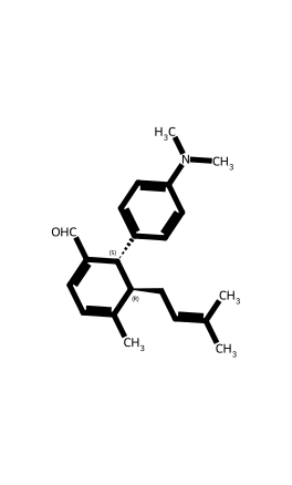 CC(C)=CC[C@H]1C(C)=CC=C(C=O)[C@@H]1c1ccc(N(C)C)cc1